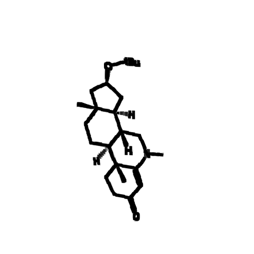 CN1C[C@H]2[C@@H]3C[C@H](OC(C)(C)C)C[C@@]3(C)CC[C@@H]2[C@@]2(C)CCC(=O)C=C12